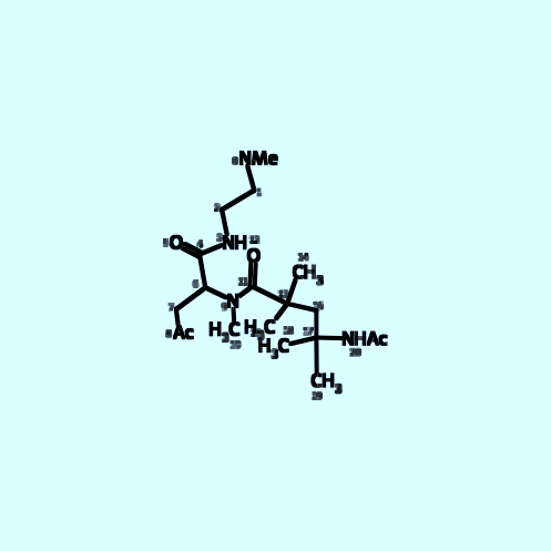 CNCCNC(=O)C(CC(C)=O)N(C)C(=O)C(C)(C)CC(C)(C)NC(C)=O